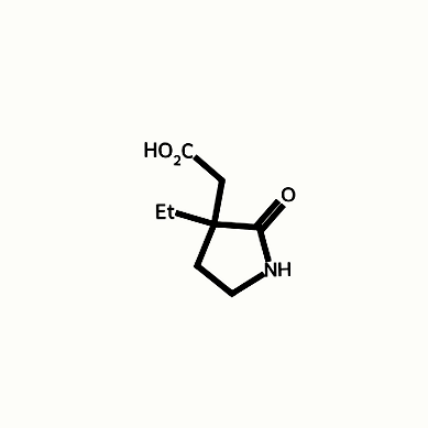 CCC1(CC(=O)O)CCNC1=O